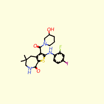 CC1(C)CNC(=O)c2sc(Nc3ccc(I)cc3F)c(C(=O)N3CCCC(O)C3)c2C1